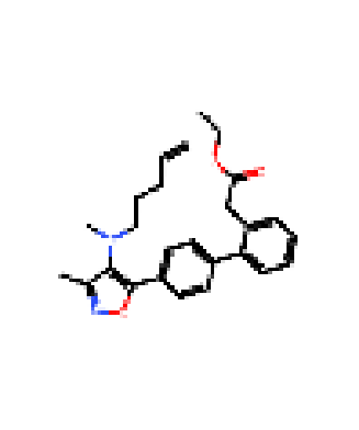 C=CCCCN(C)c1c(C)noc1-c1ccc(-c2ccccc2CC(=O)OCC)cc1